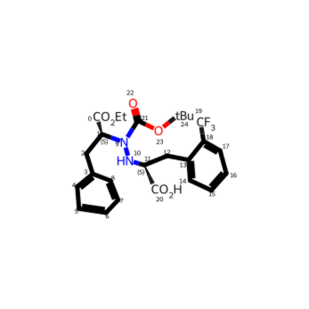 CCOC(=O)[C@H](Cc1ccccc1)N(N[C@@H](Cc1ccccc1C(F)(F)F)C(=O)O)C(=O)OC(C)(C)C